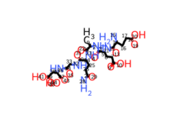 CC(NC(=O)C(CCC(=O)O)NC(=O)C(N)CCC(=O)O)C(=O)NC(CCC(N)=O)C(=O)NCC(=O)NC(CC(=O)O)C(=O)O